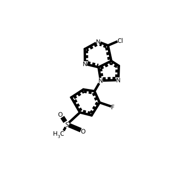 CS(=O)(=O)c1ccc(-n2ncc3c(Cl)ncnc32)c(F)c1